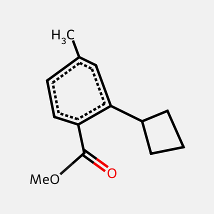 COC(=O)c1ccc(C)cc1C1CCC1